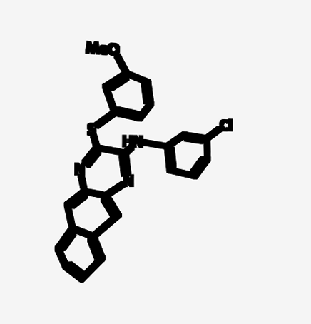 COc1cccc(Sc2nc3cc4ccccc4cc3nc2Nc2cccc(Cl)c2)c1